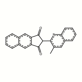 Cc1cc2ccccc2nc1C1C(=O)c2cc3ccccc3cc2C1=O